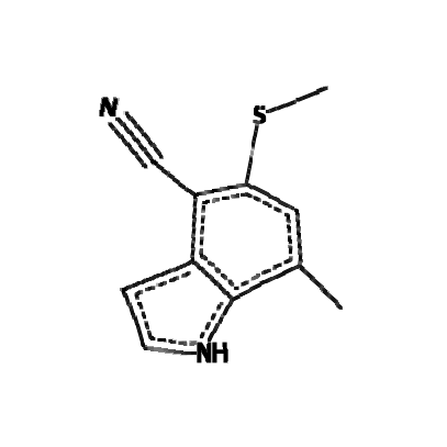 CSc1cc(C)c2[nH]ccc2c1C#N